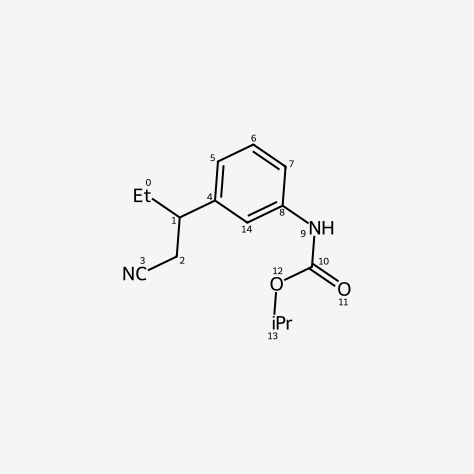 CCC(CC#N)c1cccc(NC(=O)OC(C)C)c1